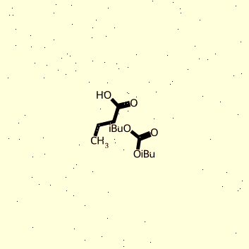 CC(C)COC(=O)OCC(C)C.CCCC(=O)O